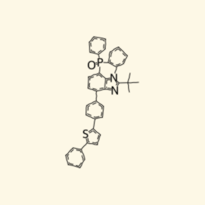 CC(C)(C)c1nc2c(-c3ccc(-c4ccc(-c5ccccc5)s4)cc3)ccc3c2n1-c1ccccc1P3(=O)c1ccccc1